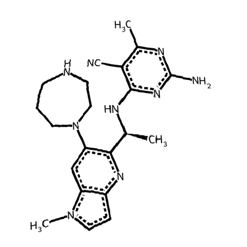 Cc1nc(N)nc(N[C@@H](C)c2nc3ccn(C)c3cc2N2CCCNCC2)c1C#N